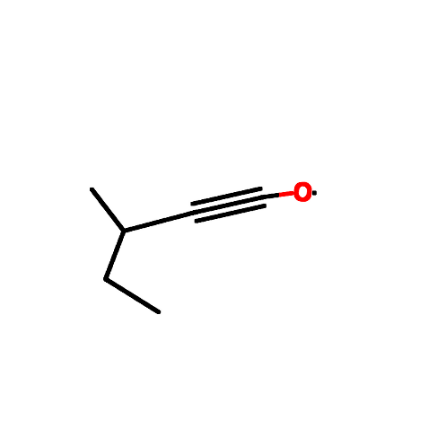 CCC(C)C#C[O]